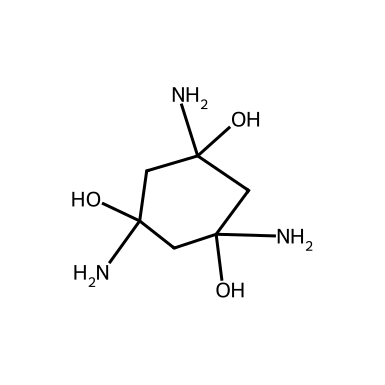 NC1(O)CC(N)(O)CC(N)(O)C1